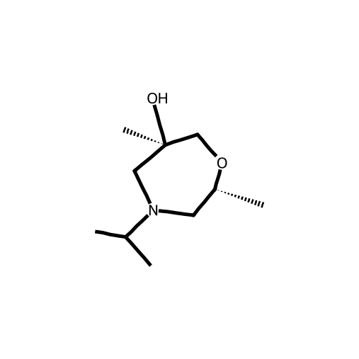 CC(C)N1C[C@@H](C)OC[C@](C)(O)C1